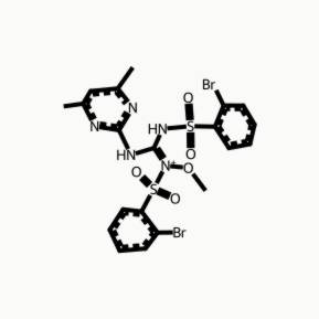 CO[N+](=C(Nc1nc(C)cc(C)n1)NS(=O)(=O)c1ccccc1Br)S(=O)(=O)c1ccccc1Br